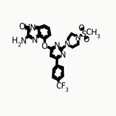 CS(=O)(=O)N1CCN(c2nc(Oc3cccc4[nH]c(=O)c(N)nc34)cc(-c3ccc(C(F)(F)F)cc3)n2)CC1